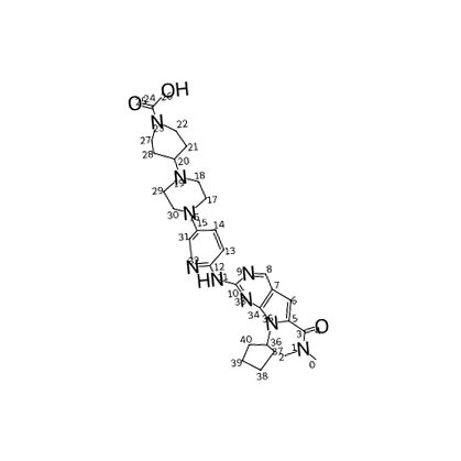 CN(C)C(=O)c1cc2cnc(Nc3ccc(N4CCN(C5CCN(C(=O)O)CC5)CC4)cn3)nc2n1C1CCCC1